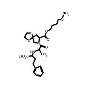 CCOC(=O)C(CCc1ccccc1)NC(C)C(=O)N1CC2(CC1C(=O)OCCCCO[N+](=O)[O-])SCCS2